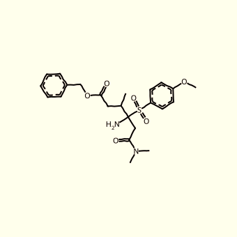 COc1ccc(S(=O)(=O)C(N)(CC(=O)N(C)C)C(C)CC(=O)OCc2ccccc2)cc1